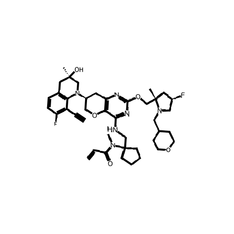 C#Cc1c(F)ccc2c1N([C@@H]1COc3c(nc(OC[C@]4(C)C[C@@H](F)CN4CC4CCOCC4)nc3NCC3(N(C)C(=O)C=C)CCCC3)C1)C[C@](C)(O)C2